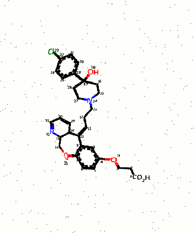 O=C(O)CCOc1ccc2c(c1)/C(=C/CCN1CCC(O)(c3ccc(Cl)cc3)CC1)C1C=CC=NC1CO2